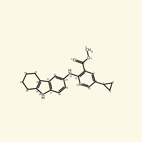 COC(=O)c1cc(C2CC2)cnc1Nc1ccc2[nH]c3c(c2c1)CCCC3